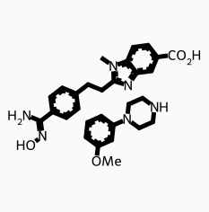 COc1cccc(N2CCNCC2)c1.Cn1c(CCc2ccc(C(N)=NO)cc2)nc2cc(C(=O)O)ccc21